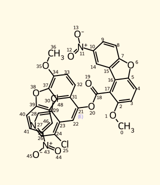 COc1ccc2oc3ccc([N+](=O)[O-])cc3c2c1C(=O)O/C(=C/c1c(Cl)cncc1Cl)c1ccc(OC)c2oc3ccc([N+](=O)[O-])cc3c12